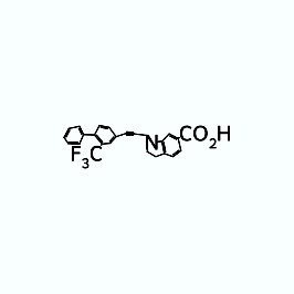 O=C(O)c1ccc2c(c1)N(CC#Cc1ccc(-c3ccccc3)c(C(F)(F)F)c1)CC2